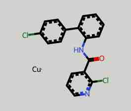 O=C(Nc1ccccc1-c1ccc(Cl)cc1)c1cccnc1Cl.[Cu]